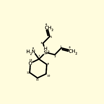 C=CC[SiH](CC=C)C1(N)CCCCO1